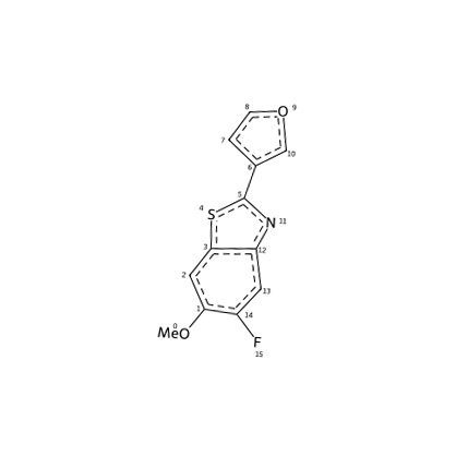 COc1cc2sc(-c3ccoc3)nc2cc1F